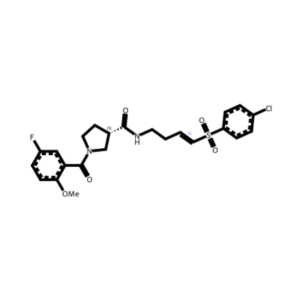 COc1ccc(F)cc1C(=O)N1CC[C@H](C(=O)NCC/C=C/S(=O)(=O)c2ccc(Cl)cc2)C1